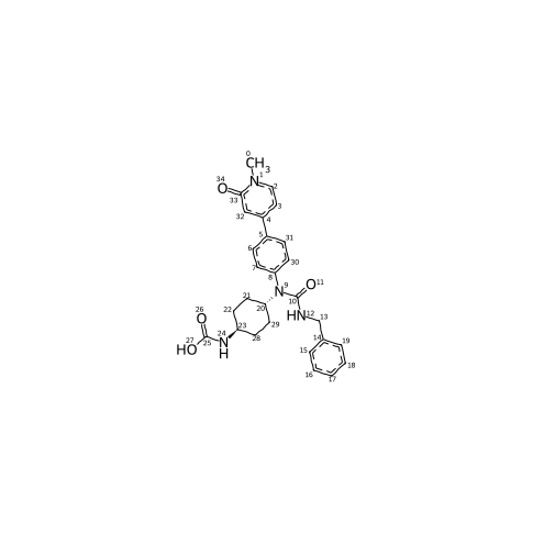 Cn1ccc(-c2ccc(N(C(=O)NCc3ccccc3)[C@H]3CC[C@H](NC(=O)O)CC3)cc2)cc1=O